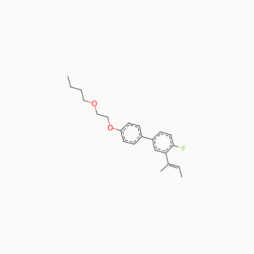 C/C=C(\C)c1cc(-c2ccc(OCCOCCCC)cc2)ccc1F